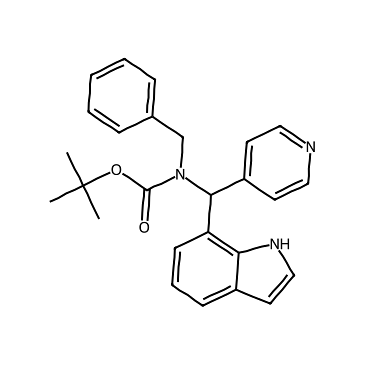 CC(C)(C)OC(=O)N(Cc1ccccc1)C(c1ccncc1)c1cccc2cc[nH]c12